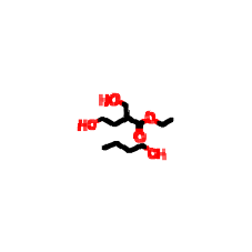 CCCCO.CCOC(=O)C(CO)CCO